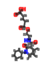 Cc1c(C)c(C)n(C2CCCCC2)c(=O)c1C(=O)NCCOC(=O)CCCC(=O)O